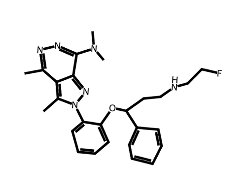 Cc1nnc(N(C)C)c2nn(-c3ccccc3OC(CCNCCF)c3ccccc3)c(C)c12